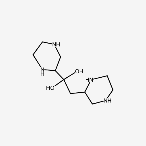 OC(O)(CC1CNCCN1)C1CNCCN1